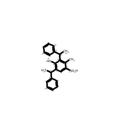 Cc1c(S(=O)(=O)O)cc(C(C)c2ccccc2)c(O)c1C(C)c1ccccc1